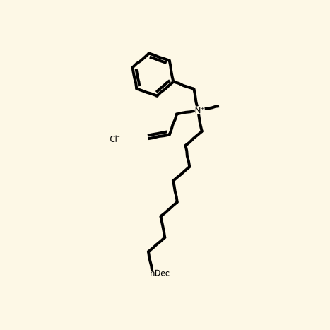 C=CC[N+](C)(CCCCCCCCCCCCCCCCCC)Cc1ccccc1.[Cl-]